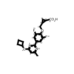 Cc1cc(OC2CCC2)nc(-c2cc(F)c(OCC3CC3C(=O)O)c(F)c2)n1